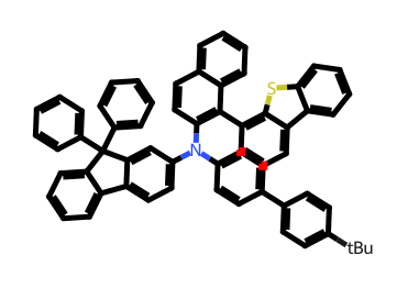 CC(C)(C)c1ccc(-c2ccc(N(c3ccc4c(c3)C(c3ccccc3)(c3ccccc3)c3ccccc3-4)c3ccc4ccccc4c3-c3cccc4c3sc3ccccc34)cc2)cc1